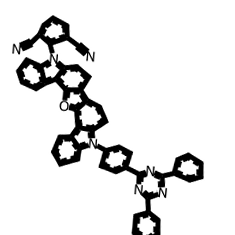 N#Cc1cccc(C#N)c1-n1c2ccccc2c2c3oc4c(ccc5c4c4ccccc4n5-c4ccc(-c5nc(-c6ccccc6)nc(-c6ccccc6)n5)cc4)c3ccc21